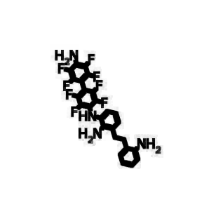 Nc1ccccc1CCc1cccc(Nc2c(F)c(F)c(-c3c(F)c(F)c(N)c(F)c3F)c(F)c2F)c1N